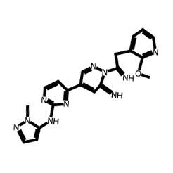 COc1ncccc1CC(=N)n1ncc(-c2ccnc(Nc3ccnn3C)n2)cc1=N